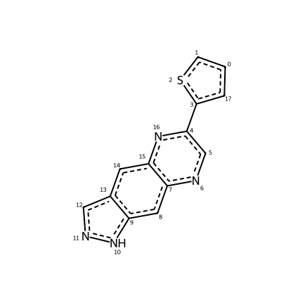 c1csc(-c2cnc3cc4[nH]ncc4cc3n2)c1